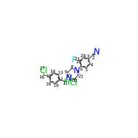 Cl.N#Cc1ccc(N2CCN(Cc3ccc(CCl)cc3)CC2)c(F)c1